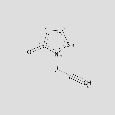 C#CCn1sccc1=O